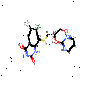 O=c1[nH]c(=O)c2cc(C(F)(F)F)c(Cl)c(SC[C@H](CO)Oc3ncccn3)c2[nH]1